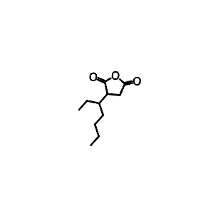 CCCCC(CC)C1CC(=O)OC1=O